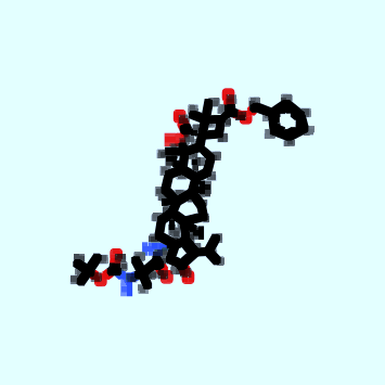 CC(C)C1=C2[C@H]3CC[C@@H]4[C@]5(C)CC[C@H]([C@]6(C(=O)O)C[C@H](C(=O)OCc7ccccc7)C6(C)C)C(C)(C)[C@H]5CC[C@@]4(C)[C@]3(C)CC[C@@]2(NC(=O)C(C)(C)NC(=O)OC(C)(C)C)CC1=O